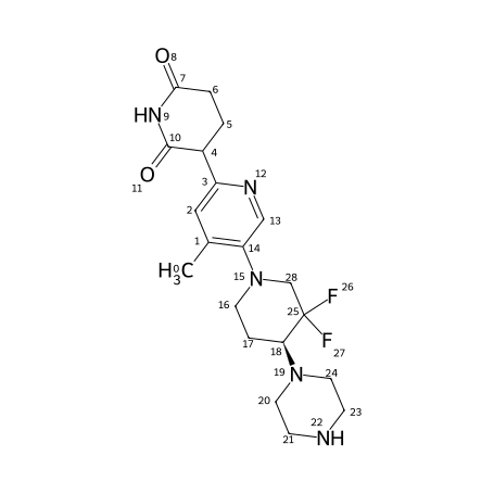 Cc1cc(C2CCC(=O)NC2=O)ncc1N1CC[C@H](N2CCNCC2)C(F)(F)C1